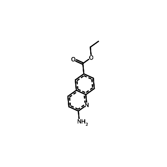 CCOC(=O)c1ccc2nc(N)ccc2c1